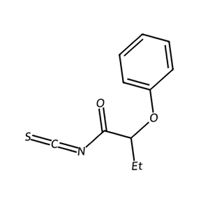 CCC(Oc1ccccc1)C(=O)N=C=S